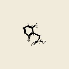 O=[N+]([O-])Cc1c(F)cccc1Cl